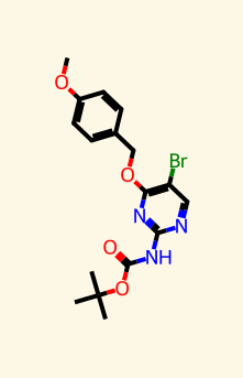 COc1ccc(COc2nc(NC(=O)OC(C)(C)C)ncc2Br)cc1